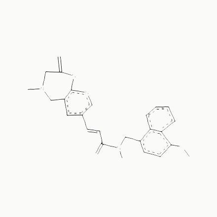 COc1ccc(CN(C)C(=O)/C=C/c2cnc3c(c2)CN(C)CC(=O)N3)c2ccccc12